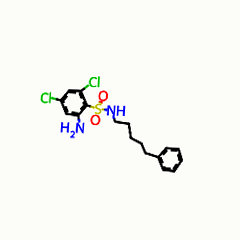 Nc1cc(Cl)cc(Cl)c1S(=O)(=O)NCCCCCc1ccccc1